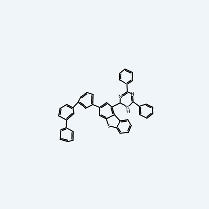 c1ccc(C2=NC(c3cc(-c4cccc(-c5cccc(-c6ccccc6)c5)c4)cc4sc5ccccc5c34)NC(c3ccccc3)=N2)cc1